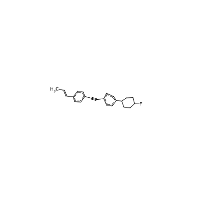 C/C=C/c1ccc(C#Cc2ccc(C3CCC(F)CC3)cc2)cc1